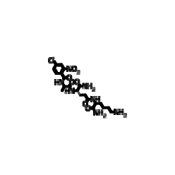 CC(NC(=O)c1ccc(Cl)cc1[N+](=O)[O-])C(=O)N[C@@H](CCC(=O)NC(CCCCN)C(N)=O)C(N)=O